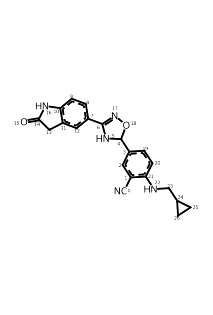 N#Cc1cc(C2NC(c3ccc4c(c3)CC(=O)N4)=NO2)ccc1NCC1CC1